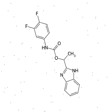 CC(OC(=O)Nc1ccc(F)c(F)c1)c1nc2ccccc2[nH]1